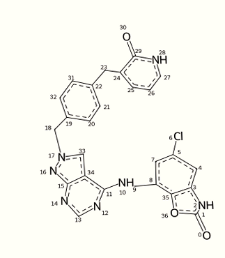 O=c1[nH]c2cc(Cl)cc(CNc3ncnc4nn(Cc5ccc(Cc6ccc[nH]c6=O)cc5)cc34)c2o1